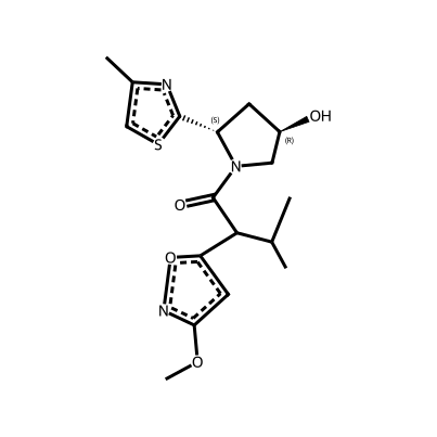 COc1cc(C(C(=O)N2C[C@H](O)C[C@H]2c2nc(C)cs2)C(C)C)on1